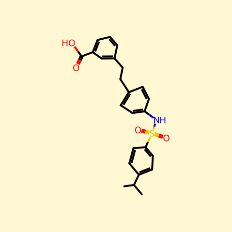 CC(C)c1ccc(S(=O)(=O)Nc2ccc(CCc3cccc(C(=O)O)c3)cc2)cc1